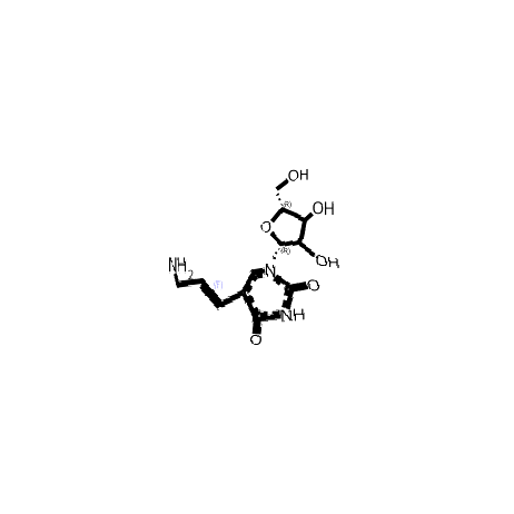 NC/C=C/c1cn([C@@H]2O[C@H](CO)C(O)C2O)c(=O)[nH]c1=O